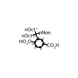 CCCCCCCCCC(CCCCCCCC)(CCCCCCCC)c1cc(C(=O)O)ccc1C(=O)O